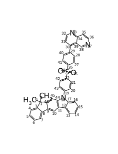 CC1(C)c2ccccc2-c2cc3c4ccccc4n(-c4ccc(S(=O)(=O)c5ccc(-c6ccnc7ccncc67)cc5)cc4)c3cc21